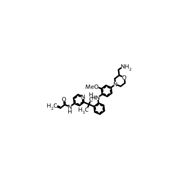 C=CC(=O)Nc1ccnc(C(C)(C)c2ccccc2Nc2ccc(N3CCOC(CN)C3)cc2OC)c1